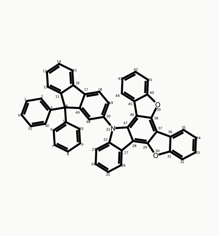 c1ccc(C2(c3ccccc3)c3ccccc3-c3ccc(-n4c5ccccc5c5c6oc7ccccc7c6c6oc7ccccc7c6c54)cc32)cc1